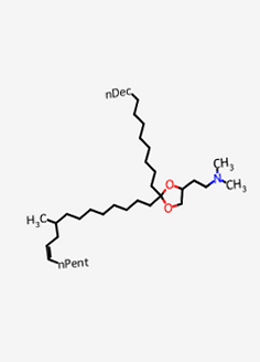 CCCCC/C=C\CC(C)CCCCCCCCC1(CCCCCCCCCCCCCCCCCC)OCC(CCN(C)C)O1